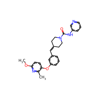 COc1ccc(Oc2cccc(C=C3CCN(C(=O)Nc4cccnc4)CC3)c2)c(C)n1